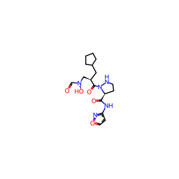 O=CN(O)C[C@@H](CC1CCCC1)C(=O)N1NCC[C@H]1C(=O)Nc1ccon1